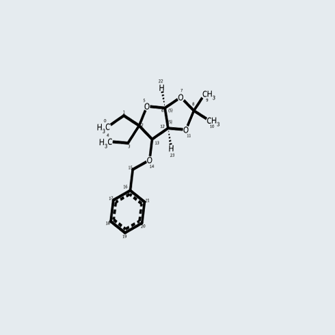 CCC1(CC)O[C@H]2OC(C)(C)O[C@H]2C1OCc1ccccc1